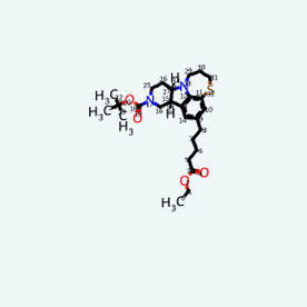 CCOC(=O)CCCCc1cc2c3c(c1)[C@@H]1CN(C(=O)OC(C)(C)C)CC[C@@H]1N3CCCS2